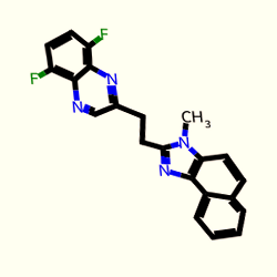 Cn1c(CCc2cnc3c(F)ccc(F)c3n2)nc2c3ccccc3ccc21